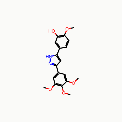 COc1ccc(-c2cc(-c3cc(OC)c(OC)c(OC)c3)n[nH]2)cc1O